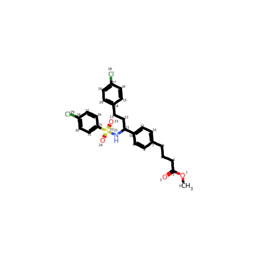 COC(=O)CCCc1ccc(C(CCc2ccc(Cl)cc2)NS(=O)(=O)c2ccc(Cl)cc2)cc1